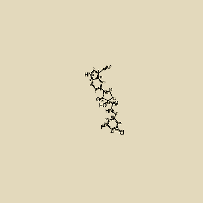 N#Cc1c[nH]c2ccc(N3CCC(O)(C(=O)NCc4cc(F)cc(Cl)c4)C3=O)cc12